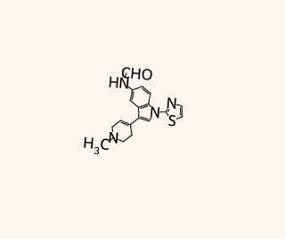 CN1CC=C(c2cn(-c3nccs3)c3ccc(NC=O)cc23)CC1